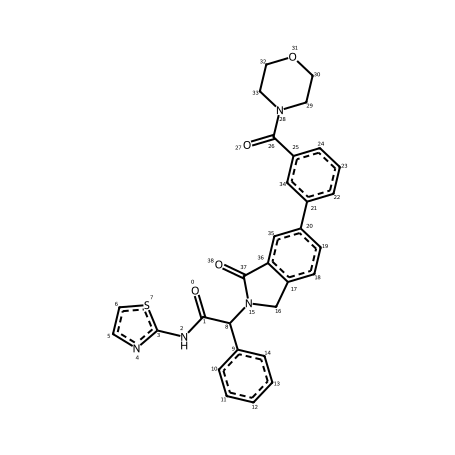 O=C(Nc1nccs1)C(c1ccccc1)N1Cc2ccc(-c3cccc(C(=O)N4CCOCC4)c3)cc2C1=O